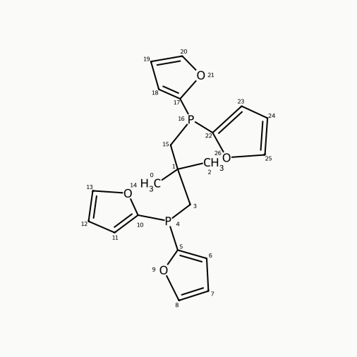 CC(C)(CP(c1ccco1)c1ccco1)CP(c1ccco1)c1ccco1